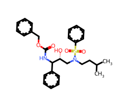 CC(C)CCN(C[C@@H](O)C(NC(=O)OCc1ccccc1)c1ccccc1)S(=O)(=O)c1ccccc1